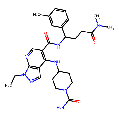 CCn1ncc2c(NC3CCN(C(N)=O)CC3)c(C(=O)NC(CCC(=O)N(C)C)c3cccc(C)c3)cnc21